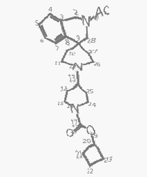 CC(=O)N1Cc2ccccc2C2(CCN(C3CCN(C(=O)OC4CCC4)CC3)CC2)C1